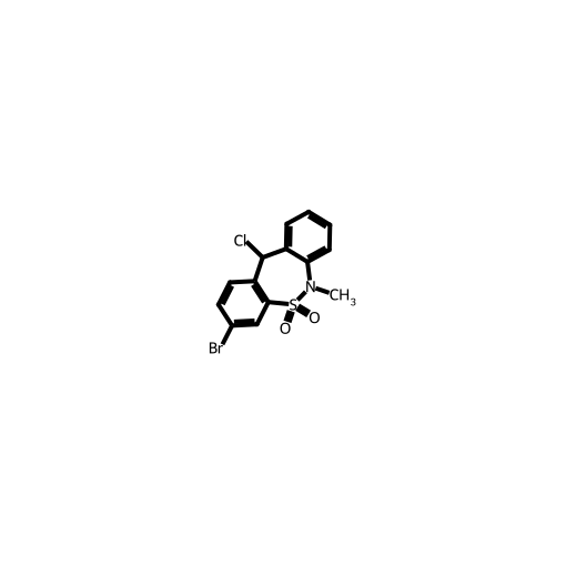 CN1c2ccccc2C(Cl)c2ccc(Br)cc2S1(=O)=O